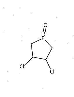 O=[PH]1CC(Cl)C(Cl)C1